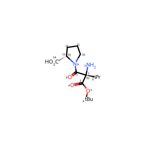 CC(C)[C@@](N)(C(=O)OC(C)(C)C)C(=O)N1CCC[C@H]1C(=O)O